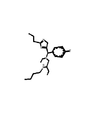 CCCCNC(CC)CN(CC)C(C1=NC(CCC)=NC1)c1ccc(F)cc1